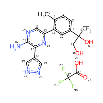 Cc1ccc(C(O)(CO)C(F)(F)F)cc1-c1cnc(N)c(-c2cn[nH]c2)n1.O=C(O)C(F)(F)F